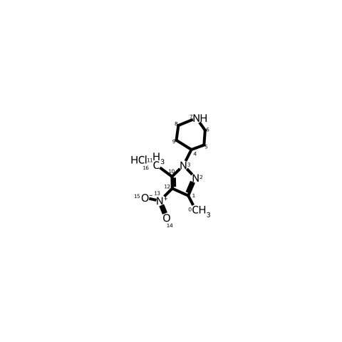 Cc1nn(C2CCNCC2)c(C)c1[N+](=O)[O-].Cl